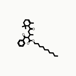 CCCCCCCCCCOC(=O)C(C(=O)c1ccccc1)C(C)CC(=O)C1C(C)=CCCC1(C)C